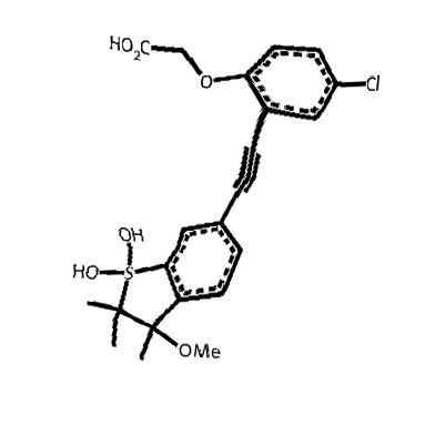 COC1(C)c2ccc(C#Cc3cc(Cl)ccc3OCC(=O)O)cc2S(O)(O)C1(C)C